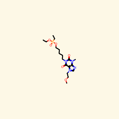 CCOP(=O)(CC)OCCCCCn1c(=O)c2c(ncn2CCOC)n(C)c1=O